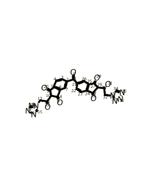 O=C(c1ccc2c(c1)C(=O)C(C(=O)Cn1cnnn1)C2=O)c1ccc2c(c1)C(=O)C(C(=O)Cn1cnnn1)C2=O